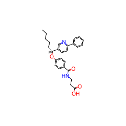 CCCCC[C@@H](Oc1ccc(C(=O)NCCC(=O)O)cc1)c1ccc(-c2ccccc2)nc1